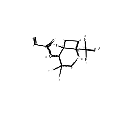 C=CC(=O)OC1C(F)(F)COC2(C(F)(F)F)CCC12F